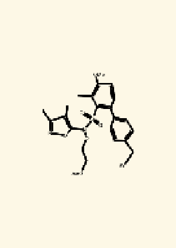 COCCON(c1onc(C)c1C)S(=O)(=O)c1c(-c2ccc(CC(C)C)cc2)ccc(OC)c1C